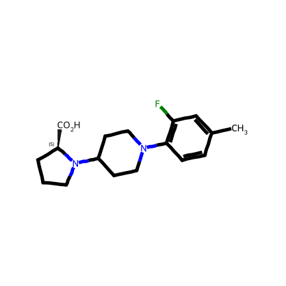 Cc1ccc(N2CCC(N3CCC[C@H]3C(=O)O)CC2)c(F)c1